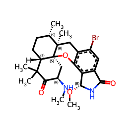 CN[C@@H]1C[C@@]23Oc4c(c(Br)cc5c4[C@@H](OC)NC5=O)C[C@]2(C)[C@@H](C)CC[C@H]3C(C)(C)C1=O